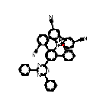 N#Cc1ccc2c(c1)c1cc(C#N)ccc1n2-c1c(-c2ccccc2C#N)cc(-c2nc(-c3ccccc3)nc(-c3ccccc3)n2)cc1-c1ccccc1C#N